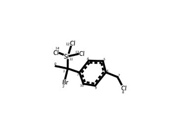 CC(Br)(c1ccc(CCl)cc1)[Si](Cl)(Cl)Cl